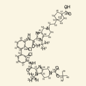 [2H]C([2H])([2H])n1c(C(=O)Nc2cccc(-c3cccc(NC(=O)c4nc5c(n4C([2H])([2H])[2H])CCN(C(=O)OC(C)(C)C)C5)c3Cl)c2Cl)nc2c1CCN(CCC13CCC(C(=O)O)(CC1)C3)C2